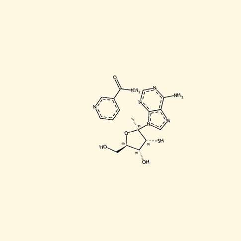 C[C@@]1(n2cnc3c(N)ncnc32)O[C@H](CO)[C@@H](O)[C@H]1S.NC(=O)c1cccnc1